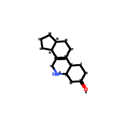 O=C1CCC2C3=C(CNC2C1)C1CCCC1CC3